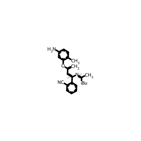 C=C(/C=C(\N=C(\C)C(C)CC)c1ccccc1C#N)Oc1cc(N)ccc1C